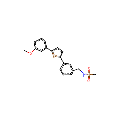 COc1cccc(-c2ccc(-c3cccc(CNS(C)(=O)=O)c3)s2)c1